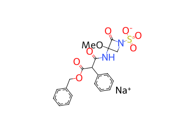 COC1(NC(=O)C(C(=O)OCc2ccccc2)c2ccccc2)CN(S(=O)(=O)[O-])C1=O.[Na+]